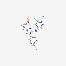 CC1(C)NC(=O)Cn2c1nc(-c1ccc(F)cc1)c2Nc1ccc(F)c(F)c1